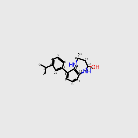 CC(C)c1cccc(-c2cccc3c2N[C@H](C)CC(O)N3)c1